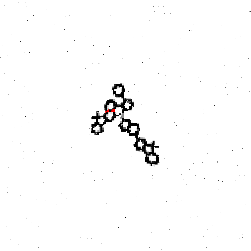 CC1(C)c2ccccc2-c2cc(N(c3ccc4cc(-c5ccc6c(c5)C(C)(C)c5ccccc5-6)ccc4c3)c3cccc(-c4ccccc4)c3-c3ccccc3)ccc21